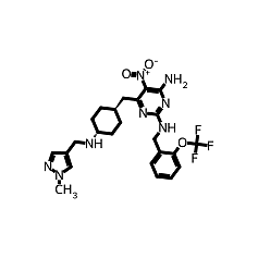 Cn1cc(CN[C@H]2CC[C@H](Cc3nc(NCc4ccccc4OC(F)(F)F)nc(N)c3[N+](=O)[O-])CC2)cn1